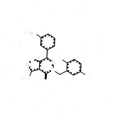 CC(=O)Nc1cccc(-c2nn(Cc3cc(C(F)(F)F)ccc3F)c(=O)c3c(C)noc23)c1